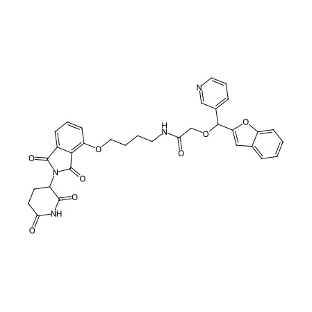 O=C(COC(c1cccnc1)c1cc2ccccc2o1)NCCCCOc1cccc2c1C(=O)N(C1CCC(=O)NC1=O)C2=O